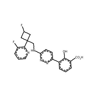 O=C(O)c1cccc(-c2ccc(NCC3(c4ncccc4F)CC(F)C3)nn2)c1O